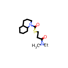 CCN(C)C(=O)CCSC(=O)N1CCCC2CCCCC21